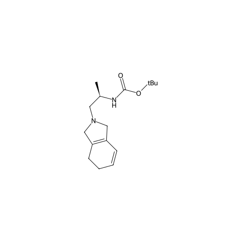 C[C@H](CN1CC2=C(CCC=C2)C1)NC(=O)OC(C)(C)C